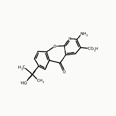 CC(C)(O)c1ccc2oc3nc(N)c(C(=O)O)cc3c(=O)c2c1